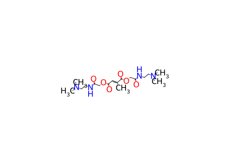 C/C(=C\C(=O)OCC(=O)NCCN(C)C)C(=O)OCC(=O)NCCN(C)C